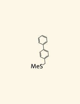 CSCc1ccc(-c2ccccc2)cc1